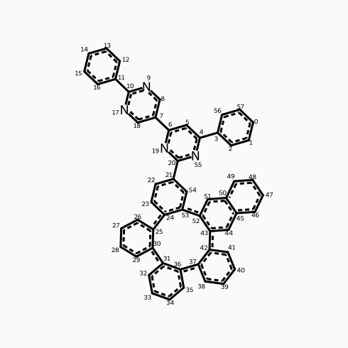 c1ccc(-c2cc(-c3cnc(-c4ccccc4)nc3)nc(-c3ccc4c5ccccc5c5ccccc5c5ccccc5c5cc6ccccc6cc5c4c3)n2)cc1